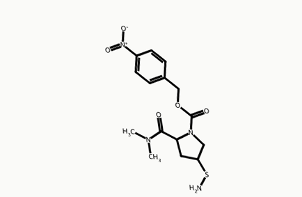 CN(C)C(=O)C1CC(SN)CN1C(=O)OCc1ccc([N+](=O)[O-])cc1